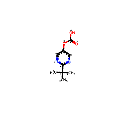 CC(C)(C)c1ncc(OC(=O)O)cn1